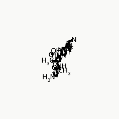 CCc1cc(Nc2nccn3c(-c4cn(CC#N)nc4C(F)(F)F)cnc23)ccc1C(=O)NC(C)C(=O)N1CC[C@H](N)C1.O=CO